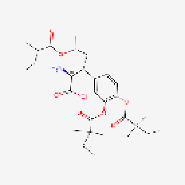 CCC(C)C(=O)OC(C)CC(c1ccc(OC(=O)C(C)(C)CC)c(OC(=O)C(C)(C)CC)c1)[C@H](N)C(=O)O